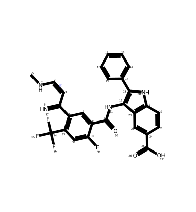 CN/C=C\C(=N)c1cc(C(=O)Nc2c(-c3ccccc3)[nH]c3ccc(C(=O)O)cc23)c(F)cc1C(F)(F)F